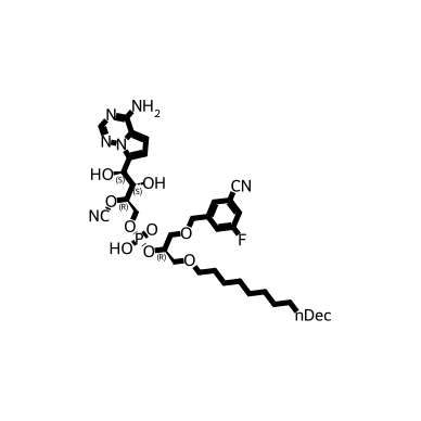 CCCCCCCCCCCCCCCCCCOC[C@H](COCc1cc(F)cc(C#N)c1)OP(=O)(O)OC[C@@H](OC#N)[C@@H](O)[C@@H](O)c1ccc2c(N)ncnn12